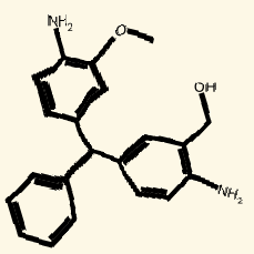 COc1cc(C(c2ccccc2)c2ccc(N)c(CO)c2)ccc1N